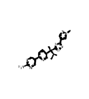 CC(C)C(C)(c1ccc(-c2cnc(N)nc2)nc1)c1nc(-c2cnn(C)c2)no1